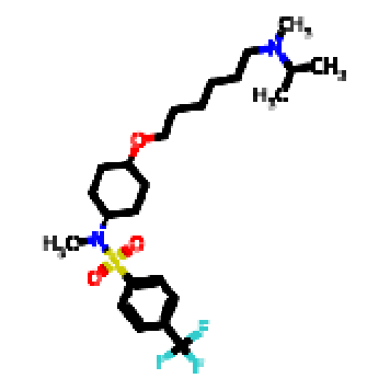 CC(C)N(C)CCCCCCO[C@H]1CC[C@H](N(C)S(=O)(=O)c2ccc(C(F)(F)F)cc2)CC1